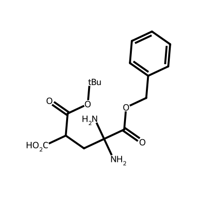 CC(C)(C)OC(=O)C(CC(N)(N)C(=O)OCc1ccccc1)C(=O)O